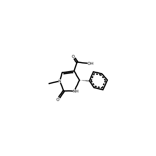 CN1C=C(C(=O)O)[C@H](c2ccccc2)NC1=O